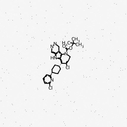 CC(C)(C)OC(=O)N1CC=C(Cl)C([C@H]2CC[C@H](c3cccc(Cl)n3)CC2)=c2[nH]c3c(c21)CN=NC=3